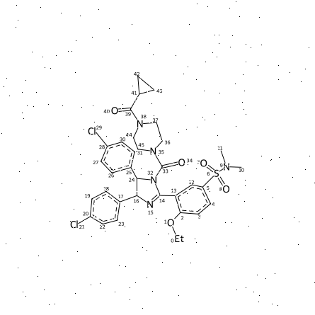 CCOc1ccc(S(=O)(=O)N(C)C)cc1C1=NC(c2ccc(Cl)cc2)C(c2ccc(Cl)cc2)N1C(=O)N1CCN(C(=O)C2CC2)CC1